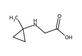 CC1(NCC(=O)O)CC1